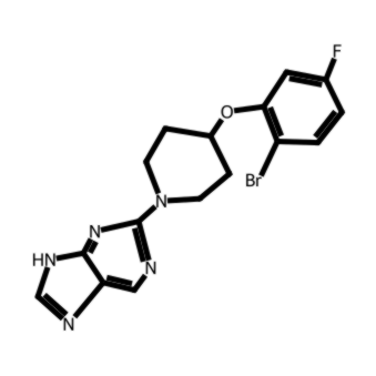 Fc1ccc(Br)c(OC2CCN(c3ncc4nc[nH]c4n3)CC2)c1